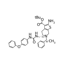 C[C@H](c1ccccc1)N1Cc2sc(N)c(C(=O)OC(C)(C)C)c2C[C@H]1CNC(=O)Nc1ccc(Oc2ccccc2)cc1